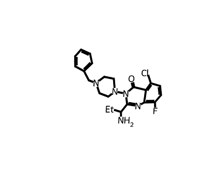 CCC(N)c1nc2c(F)ccc(Cl)c2c(=O)n1N1CCN(Cc2ccccc2)CC1